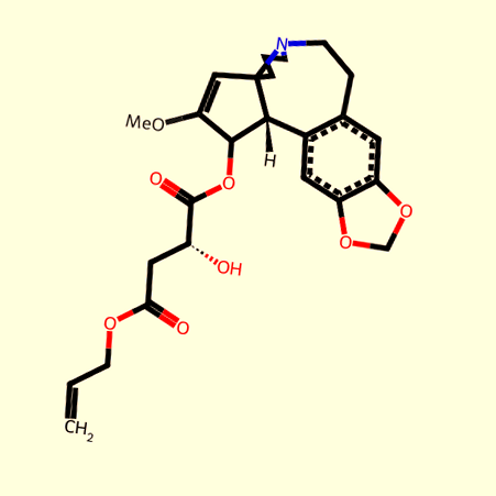 C=CCOC(=O)C[C@@H](O)C(=O)OC1C(OC)=CC23CCCN2CCc2cc4c(cc2[C@H]13)OCO4